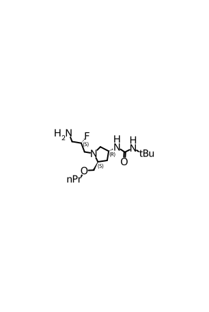 CCCOC[C@@H]1C[C@@H](NC(=O)NC(C)(C)C)CN1C[C@@H](F)CN